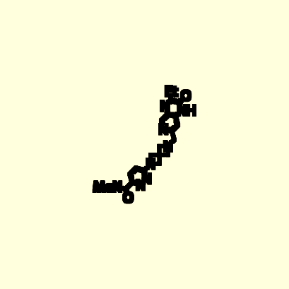 CCc1nc2cnc(CN3CC4(C3)CN(c3ccc(C(=O)NC)nn3)C4)cc2[nH]c1=O